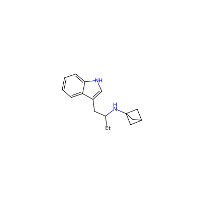 CCC(Cc1c[nH]c2ccccc12)NC12CC(C1)C2